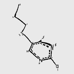 CCCSc1cnc(Cl)nc1